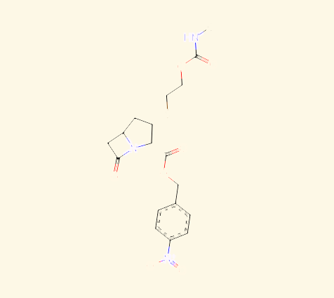 CNC(=O)OCCS[C@H]1CC2CC(=O)N2[C@H]1C(=O)OCc1ccc([N+](=O)[O-])cc1